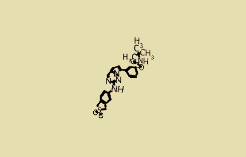 CC(C)(C)NS(=O)(=O)c1cccc(-c2ccc3cnc(Nc4ccc5c(c4)CS(=O)(=O)C5)nn23)c1